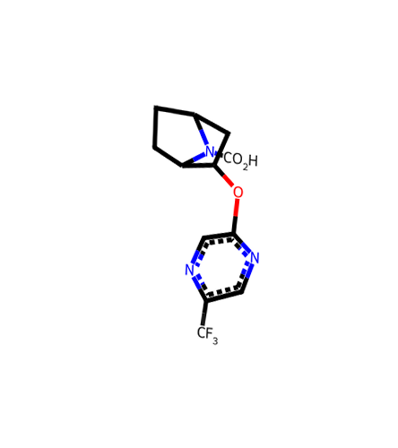 O=C(O)N1C2CCC1C(Oc1cnc(C(F)(F)F)cn1)C2